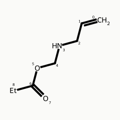 C=CCNCOC(=O)CC